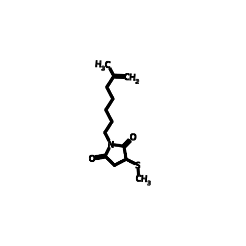 C=C(C)CCCCCN1C(=O)CC(SC)C1=O